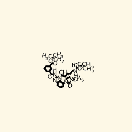 C[C@H](CCCCNC(=O)OC(C)(C)C)n1c(NC(=O)c2cccc(C(=O)OC(C)(C)C)c2)nc2cccc(N3CCN(C)C3=O)c21